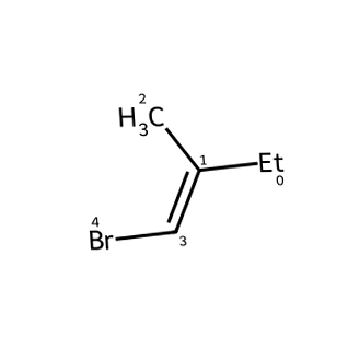 CCC(C)=CBr